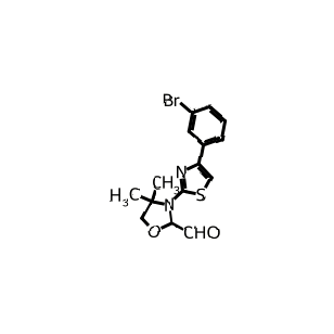 CC1(C)COC(C=O)N1c1nc(-c2cccc(Br)c2)cs1